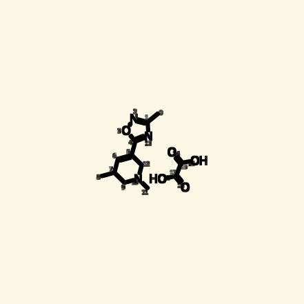 Cc1noc(C2=CC(C)CN(C)C2)n1.O=C(O)C(=O)O